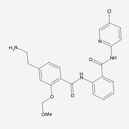 COCOc1cc(CCN)ccc1C(=O)Nc1ccccc1C(=O)Nc1ccc(Cl)cn1